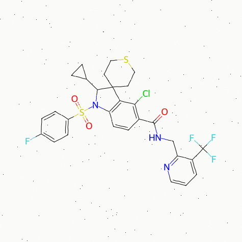 O=C(NCc1ncccc1C(F)(F)F)c1ccc2c(c1Cl)C1(CCSCC1)C(C1CC1)N2S(=O)(=O)c1ccc(F)cc1